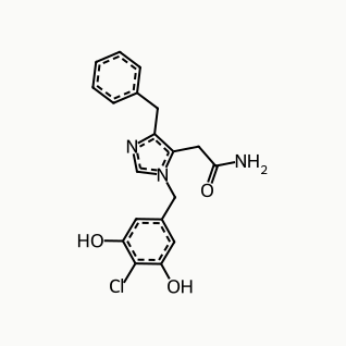 NC(=O)Cc1c(Cc2ccccc2)ncn1Cc1cc(O)c(Cl)c(O)c1